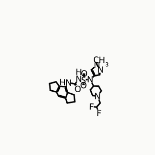 Cn1cc(N(C2CCN(CC(F)F)CC2)S(=O)(=O)NC(=O)Nc2c3c(cc4c2CCC4)CCC3)cn1